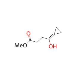 COC(=O)CCC(O)=C1CC1